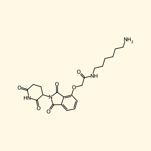 NCCCCCCNC(=O)COc1cccc2c1C(=O)N(C1CCC(=O)NC1=O)C2=O